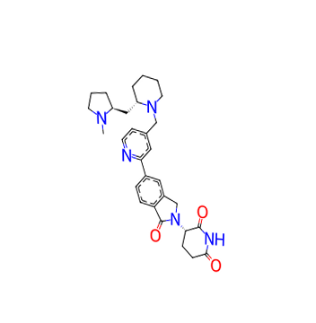 CN1CCC[C@H]1C[C@@H]1CCCCN1Cc1ccnc(-c2ccc3c(c2)CN([C@H]2CCC(=O)NC2=O)C3=O)c1